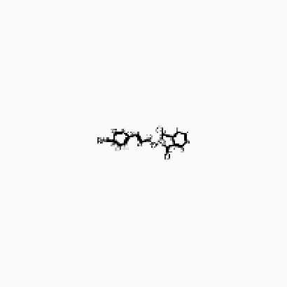 O=C1c2ccccc2C(=O)N1OCC=Cc1ccc(Br)cc1